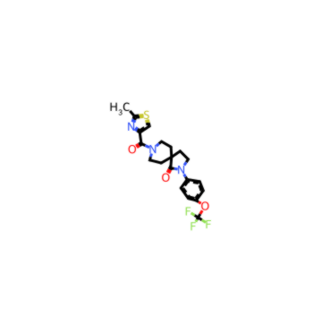 Cc1nc(C(=O)N2CCC3(CC2)CCN(c2ccc(OC(F)(F)F)cc2)C3=O)cs1